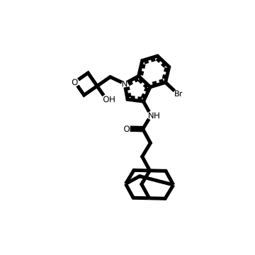 O=C(CCC12CC3CC(CC(C3)C1)C2)Nc1cn(CC2(O)COC2)c2cccc(Br)c12